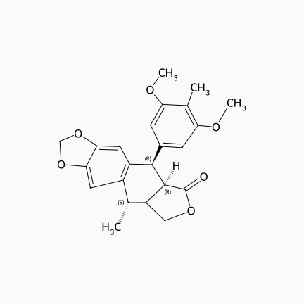 COc1cc([C@@H]2c3cc4c(cc3[C@@H](C)C3COC(=O)[C@@H]32)OCO4)cc(OC)c1C